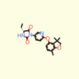 CC[C@H]1NC(=O)N(c2ccc(Oc3ccc(C)c4c3C(C)(C)CO4)nc2)C1=O